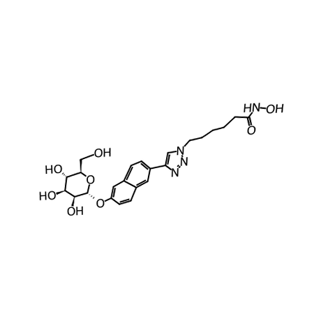 O=C(CCCCCn1cc(-c2ccc3cc(O[C@H]4O[C@H](CO)[C@@H](O)[C@H](O)[C@@H]4O)ccc3c2)nn1)NO